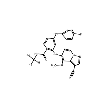 [2H]C([2H])([2H])NC(=O)c1cnc(Nc2ccc(F)cn2)cc1Nc1ccn2ncc(C#N)c2c1OC